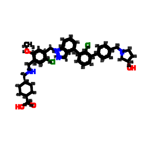 COc1cc(Cn2ncc3c(-c4cccc(-c5ccc(CN6CC[C@@H](O)C6)cc5)c4Cl)cccc32)c(Cl)cc1CNC[C@H]1CC[C@H](C(=O)O)CC1